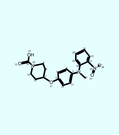 CN(c1ccc(OC2CCN(C(=O)O)CC2)cc1)c1ccccc1[N+](=O)[O-]